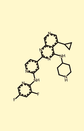 Fc1cnc(Nc2cc(-c3nc(NC4CCNCC4)c4c(C5CC5)cncc4n3)ccn2)c(F)c1